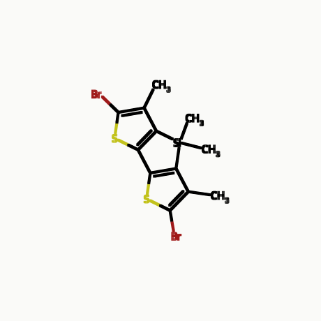 Cc1c(Br)sc2c1[Si](C)(C)c1c-2sc(Br)c1C